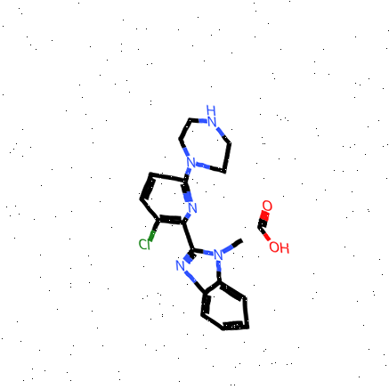 Cn1c(-c2nc(N3CCNCC3)ccc2Cl)nc2ccccc21.O=CO